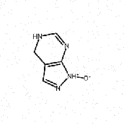 [O-][NH+]1N=CC2=C1N=CNC2